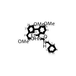 CCC(NC(=O)NCc1ccccc1)c1ccc(OC)cc1-c1cc(CC(=O)OC)ccc1OC